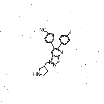 N#Cc1ccc(-c2cc3c(cnn3C[C@H]3CCNC3)nc2-c2ccc(I)cc2)cc1